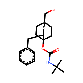 CC(C)(C)NC(=O)OC12CCC(CO)(CC1)CC2Cc1ccccc1